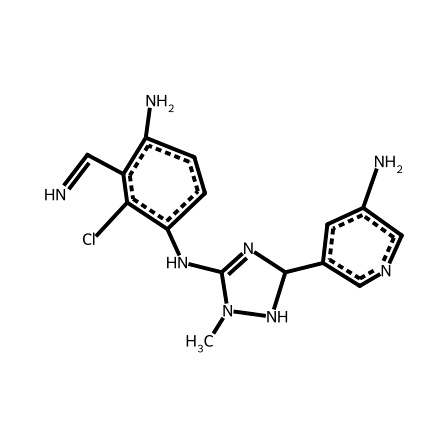 CN1NC(c2cncc(N)c2)N=C1Nc1ccc(N)c(C=N)c1Cl